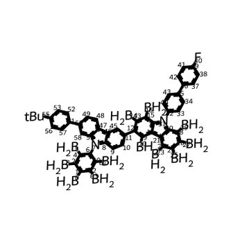 Bc1c(B)c(B)c(-n2c3ccc(-c4c(B)c(B)c5c(c4B)c4c(B)c(B)c(B)c(B)c4n5-c4ccc(-c5ccc(F)cc5)cc4)cc3c3ccc(-c4ccc(C(C)(C)C)cc4)cc32)c(B)c1B